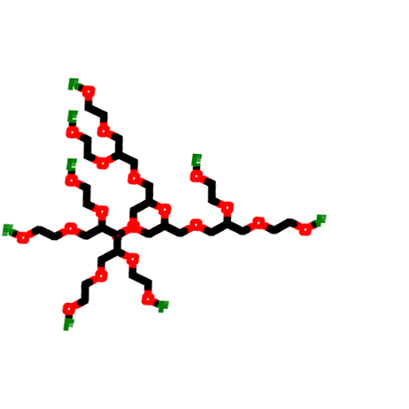 FOCCOCC(COCC(COCC(COCCOF)OCCOF)OC(COCC(COCCOF)OCCOF)COCC(COCCOF)OCCOF)OCCOF